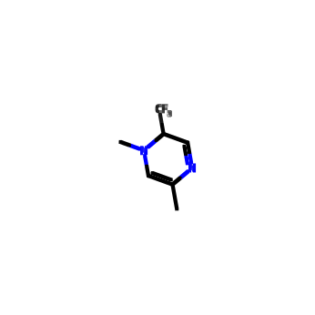 CC1=CN(C)C(C(F)(F)F)C=N1